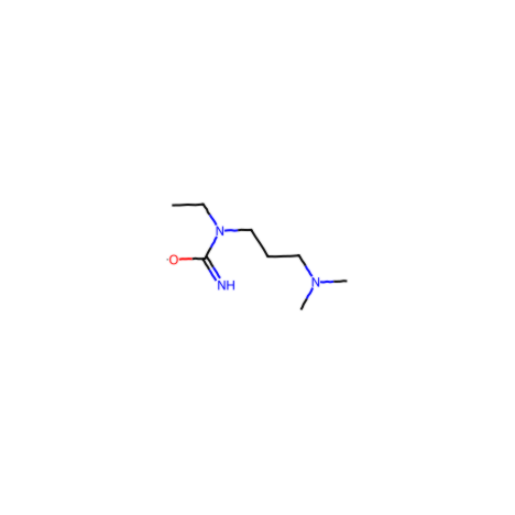 CCN(CCCN(C)C)C(=N)[O]